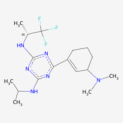 CC(C)Nc1nc(N[C@H](C)C(F)(F)F)nc(C2=CC(N(C)C)CCC2)n1